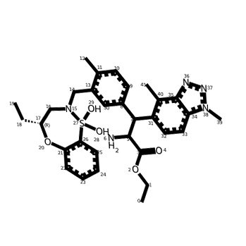 CCOC(=O)C(N)C(c1ccc(C)c(CN2C[C@@H](CC)Oc3ccccc3S2(O)O)c1)c1ccc2c(nnn2C)c1C